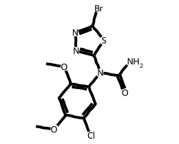 COc1cc(OC)c(N(C(N)=O)c2nnc(Br)s2)cc1Cl